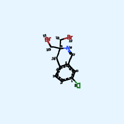 Clc1ccc2c(c1)C=NC(CBr)(CBr)C2